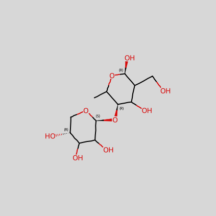 CC1O[C@@H](O)C(CO)C(O)[C@H]1O[C@@H]1OC[C@@H](O)C(O)C1O